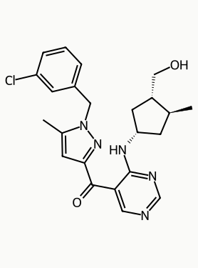 Cc1cc(C(=O)c2cncnc2N[C@@H]2C[C@H](CO)[C@@H](C)C2)nn1Cc1cccc(Cl)c1